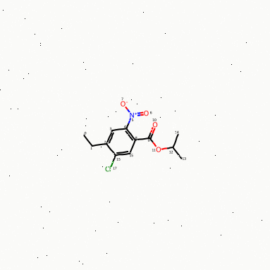 CCc1cc([N+](=O)[O-])c(C(=O)OC(C)C)cc1Cl